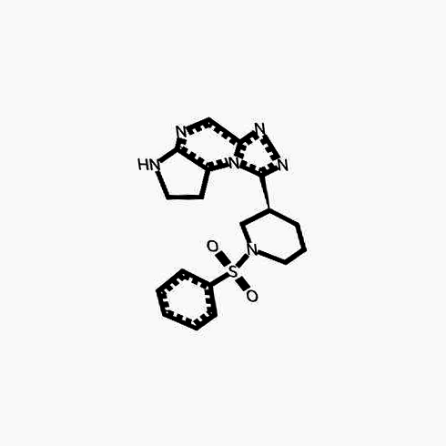 O=S(=O)(c1ccccc1)N1CCC[C@H](c2nnc3cnc4c(n23)CCN4)C1